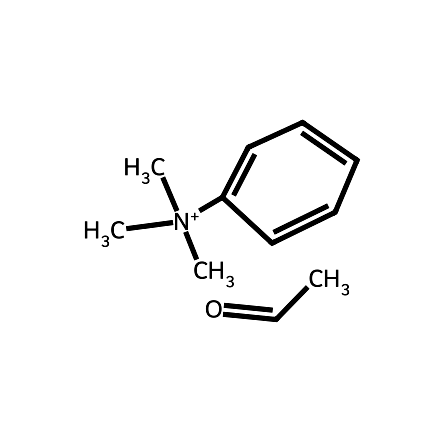 CC=O.C[N+](C)(C)c1ccccc1